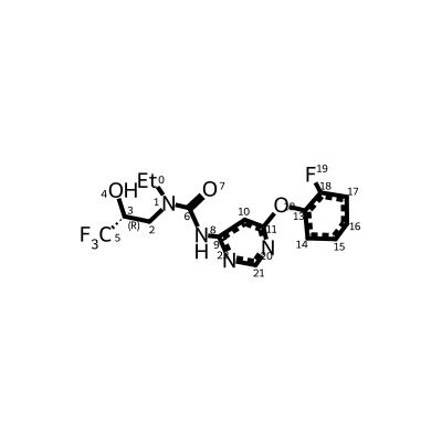 CCN(C[C@@H](O)C(F)(F)F)C(=O)Nc1cc(Oc2ccccc2F)ncn1